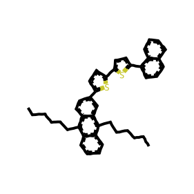 CCCCCCc1c2ccccc2c(CCCCCC)c2cc(-c3ccc(-c4ccc(-c5cccc6ccccc56)s4)s3)ccc12